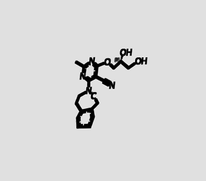 Cc1nc(OC[C@H](O)CO)c(C#N)c(N2CCc3ccccc3CC2)n1